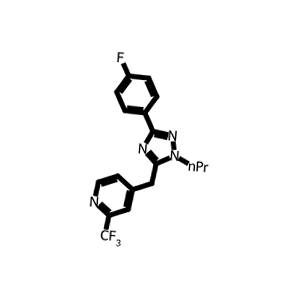 CCCn1nc(-c2ccc(F)cc2)nc1Cc1ccnc(C(F)(F)F)c1